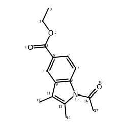 CCOC(=O)c1ccc2c(c1)c(C)c(C)n2C(C)=O